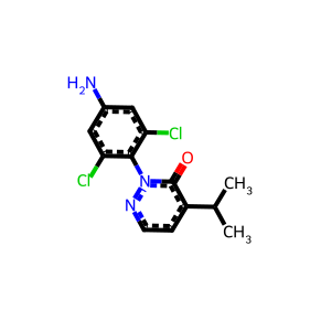 CC(C)c1ccnn(-c2c(Cl)cc(N)cc2Cl)c1=O